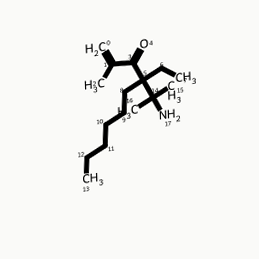 C=C(C)C(=O)C(CC)(CCCCCC)C(C)(C)N